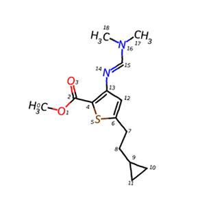 COC(=O)c1sc(CCC2CC2)cc1N=CN(C)C